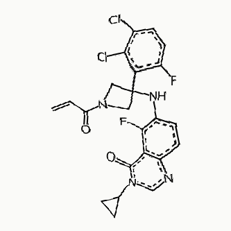 C=CC(=O)N1CC(Nc2ccc3ncn(C4CC4)c(=O)c3c2F)(c2c(F)ccc(Cl)c2Cl)C1